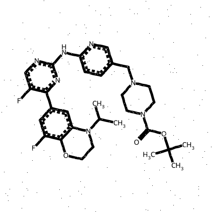 CC(C)N1CCOc2c(F)cc(-c3nc(Nc4ccc(CN5CCN(C(=O)OC(C)(C)C)CC5)cn4)ncc3F)cc21